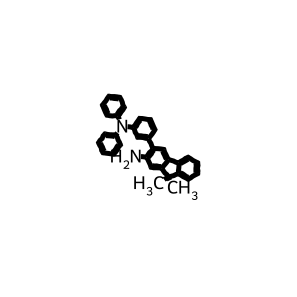 CC1(C)c2ccccc2-c2cc(-c3cccc(N(c4ccccc4)c4ccccc4)c3)c(N)cc21